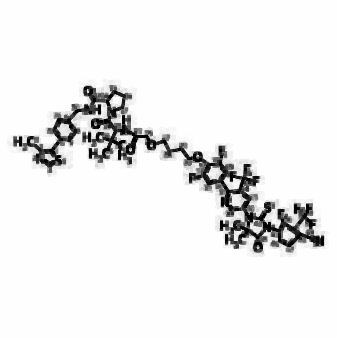 Cc1ncsc1-c1ccc(CNC(=O)C2CCCN2C(=O)C(NC(=O)COCCCCOc2c(F)cc(-c3ncc(N4C(=S)N(c5ccc(C#N)c(C(F)(F)F)c5F)C(=O)C4(C)C)cc3C(F)(F)F)cc2F)C(C)(C)C)cc1